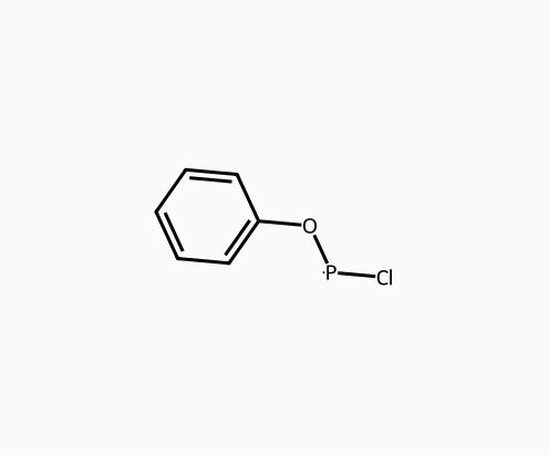 Cl[P]Oc1ccccc1